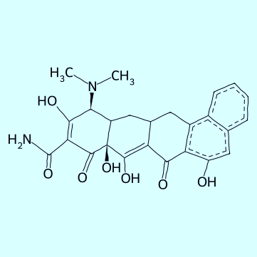 CN(C)[C@@H]1C(O)=C(C(N)=O)C(=O)[C@@]2(O)C(O)=C3C(=O)c4c(O)cc5ccccc5c4CC3CC12